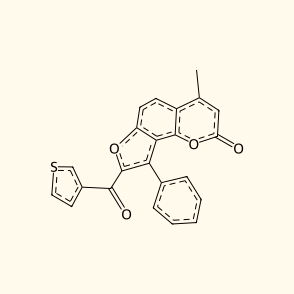 Cc1cc(=O)oc2c1ccc1oc(C(=O)c3ccsc3)c(-c3ccccc3)c12